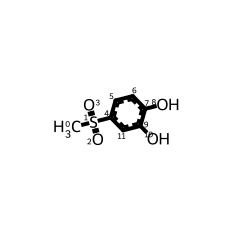 CS(=O)(=O)c1ccc(O)c(O)c1